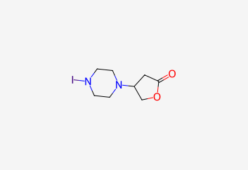 O=C1CC(N2CCN(I)CC2)CO1